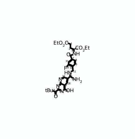 CCOC(=O)CC[C@H](NC(=O)c1ccc(CNC(N)c2cnc3nc(C(=O)C(C)(C)C)nc(O)c3c2)c(F)c1)C(=O)OCC